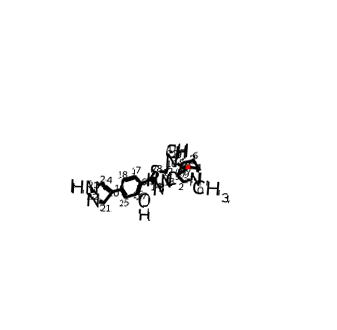 CN1C[C@@]2(C)CCC1C[C@@H]2N(C)c1nnc(-c2ccc(-c3cn[nH]c3)cc2O)s1